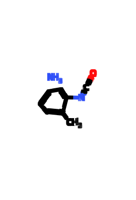 Cc1ccccc1N=C=O.N